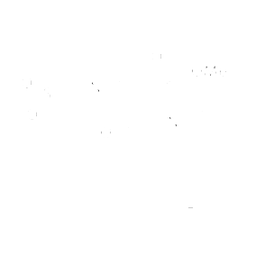 COC(=O)c1c(CN2CCS(=O)(=O)CC2)c(=O)c2ccc(F)cc2n1-c1ccccc1